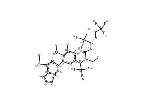 CCN(C(=O)N[C@@H](CCC(F)(F)F)C(F)(F)F)C(c1cc(-c2cn3ccnc3c(OC)n2)c(OC)c(C)n1)C(F)(F)F